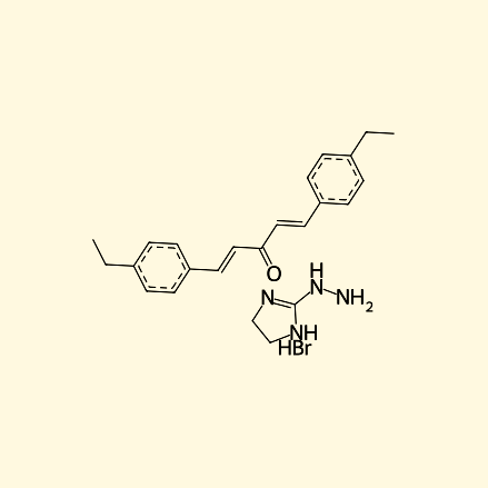 Br.CCc1ccc(C=CC(=O)C=Cc2ccc(CC)cc2)cc1.NNC1=NCCN1